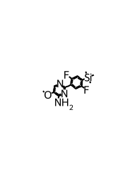 COc1cnc(-c2cc(F)c([Si](C)(C)C)cc2F)nc1N